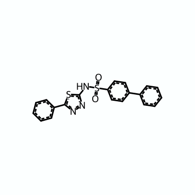 O=S(=O)(Nc1nnc(-c2ccccc2)s1)c1ccc(-c2ccccc2)cc1